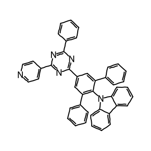 c1ccc(-c2nc(-c3ccncc3)nc(-c3cc(-c4ccccc4)c(-n4c5ccccc5c5ccccc54)c(-c4ccccc4)c3)n2)cc1